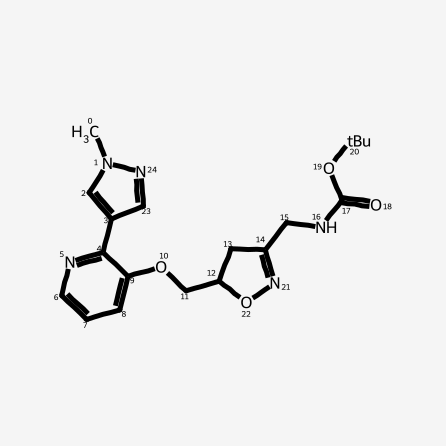 Cn1cc(-c2ncccc2OCC2CC(CNC(=O)OC(C)(C)C)=NO2)cn1